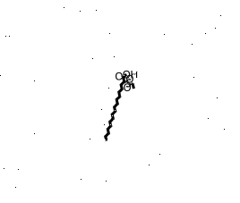 CCCCCCCCCCCCCCCCC(C(=O)O)S(=O)(=O)CC